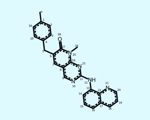 Cc1ccc(Cc2cc3cnc(Nc4cccc5cccnc45)nc3n(C)c2=O)cc1